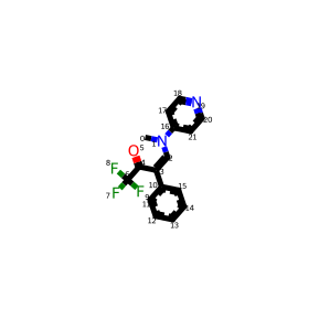 CN(/C=C(\C(=O)C(F)(F)F)c1ccccc1)c1ccncc1